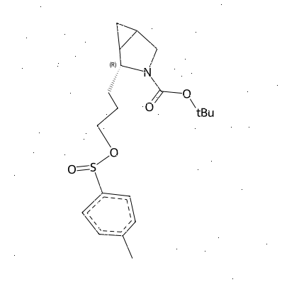 Cc1ccc(S(=O)OCCC[C@@H]2C3CC3CN2C(=O)OC(C)(C)C)cc1